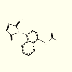 CC(=O)Oc1ccc(N2C(=O)C=CC2=O)c2ccccc12